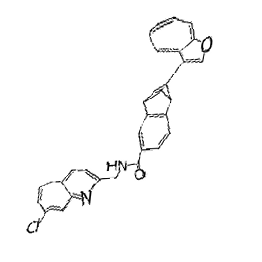 O=C(NCc1ccc2ccc(Cl)cc2n1)c1ccc2c(c1)C1C=C(c3coc4ccccc34)C2C1